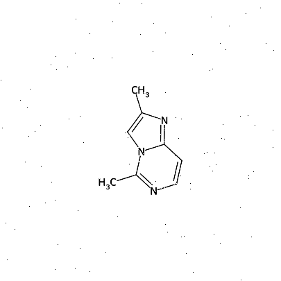 Cc1cn2c(C)nccc2n1